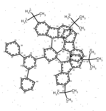 CC(C)(C)c1ccc2c(c1)c1cc(C(C)(C)C)ccc1n2-c1cc(-c2nc(-c3ccccc3)nc(-c3ccccc3)n2)cc(-n2c3ccc(C(C)(C)C)cc3c3cc(C(C)(C)C)ccc32)c1-n1c2ncccc2c2cccnc21